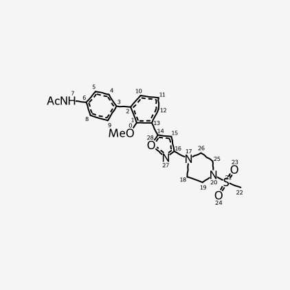 COc1c(-c2ccc(NC(C)=O)cc2)cccc1-c1cc(N2CCN(S(C)(=O)=O)CC2)no1